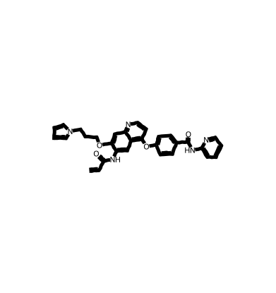 C=CC(=O)Nc1cc2c(Oc3ccc(C(=O)Nc4ccccn4)cc3)ccnc2cc1OCCCn1cccc1